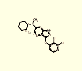 CN(c1cnc2c(Oc3ccnc(Cl)c3Cl)n[nH]c2n1)[C@H]1CCCC[C@H]1N